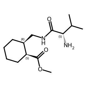 COC(=O)[C@H]1CCCC[C@H]1CNC(=O)[C@@H](N)C(C)C